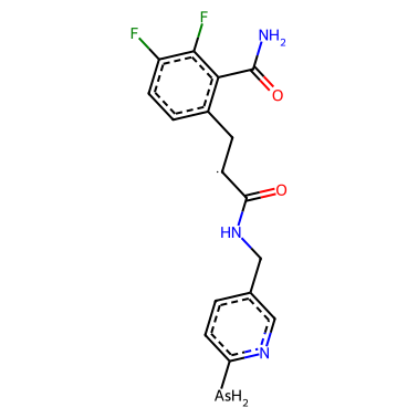 NC(=O)c1c(C[CH]C(=O)NCc2ccc([AsH2])nc2)ccc(F)c1F